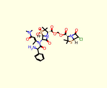 CC(=CC(=O)N(C)C)N(C(=O)C(N)c1ccccc1)[C@@H]1C(=O)N2[C@@H](C(=O)OCOC(=O)[C@@H]3N4C(=O)[C@@H](Cl)[C@H]4SC3(C)C)C(C)(C)S(=O)(=O)[C@H]12